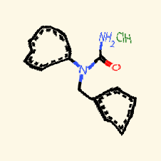 Cl.NC(=O)N(Cc1ccccc1)c1ccccc1